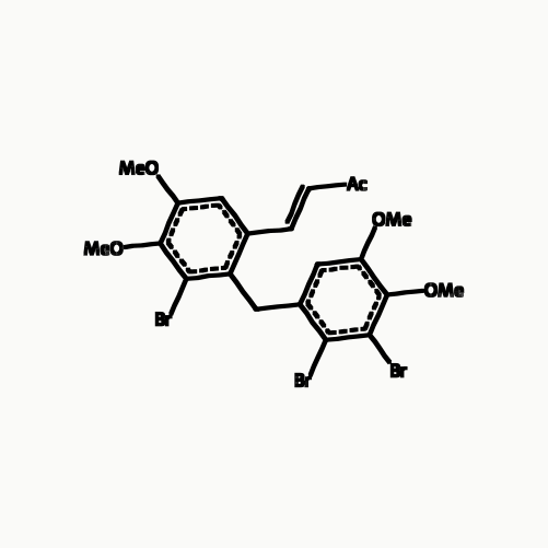 COc1cc(Cc2c(C=CC(C)=O)cc(OC)c(OC)c2Br)c(Br)c(Br)c1OC